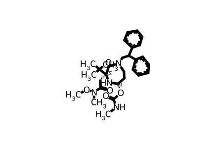 CNC(=O)O[C@H]1CCN(CC(c2ccccc2)c2ccccc2)C(=O)[C@](CC(=O)N(C)OC)(C(C)(C)C)N1